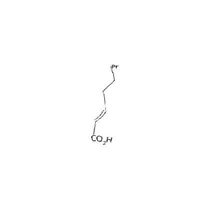 CC(C)CC/C=C/C(=O)O